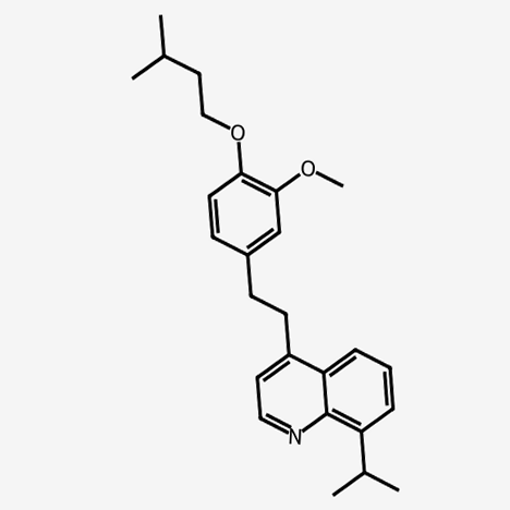 COc1cc(CCc2ccnc3c(C(C)C)cccc23)ccc1OCCC(C)C